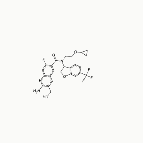 Nc1nc2cc(F)c(C(=O)N(CCOC3CC3)C3COc4cc(C(F)(F)F)ccc43)cc2cc1CO